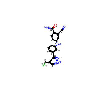 N#Cc1cc(Nc2cccc(-c3n[nH]cc3CBr)c2)ccc1C([NH])=O